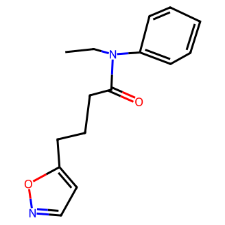 CCN(C(=O)CCCc1ccno1)c1ccccc1